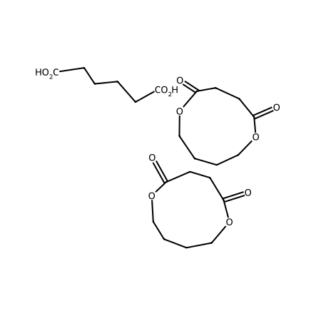 O=C(O)CCCCC(=O)O.O=C1CCC(=O)OCCCCO1.O=C1CCC(=O)OCCCCO1